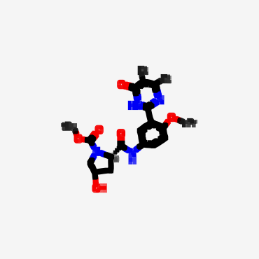 CCCOc1ccc(NC(=O)[C@@H]2CC(O)CN2C(=O)OC(C)(C)C)cc1-c1nc(CC)c(CC)c(=O)[nH]1